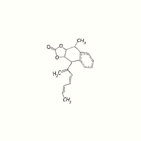 C=C(/C=C\C=C/C)C1c2ccccc2C(C)C2OC(=O)OC12